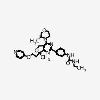 CCNC(=O)Nc1ccc(-c2nc(N3CCOC[C@@H]3C)c3c(n2)[C@](C)(CCOc2ccncc2)OC3)cc1